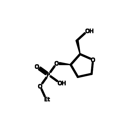 CCOP(=O)(O)O[C@@H]1CCO[C@@H]1CO